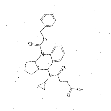 O=C(O)CCC(=O)N(C1CC1)C1c2ccccc2N(C(=O)OCc2ccccc2)C2CCCC21